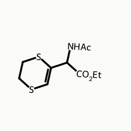 CCOC(=O)C(NC(C)=O)C1=CSCCS1